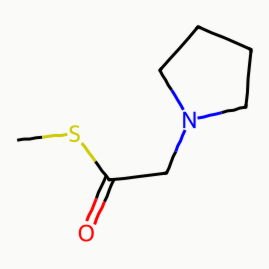 CSC(=O)CN1CCCC1